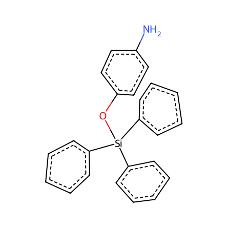 Nc1ccc(O[Si](c2ccccc2)(c2ccccc2)c2ccccc2)cc1